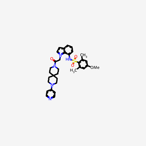 COc1cc(C)c(S(=O)(=O)Nc2cccc3ccn(CC(=O)N4CCC5(CC4)CCN(c4ccncc4)CC5)c23)c(C)c1